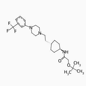 CC(C)(C)OCC(=O)N[C@H]1CC[C@H](CCN2CCN(c3cccc(C(F)(F)F)c3)CC2)CC1